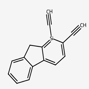 C#Cc1ccc2c([si]1C#C)Cc1ccccc1-2